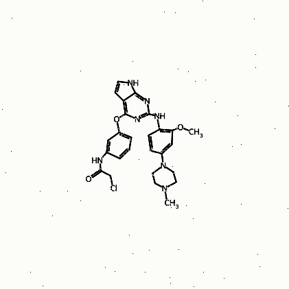 COc1cc(N2CCN(C)CC2)ccc1Nc1nc(Oc2cccc(NC(=O)CCl)c2)c2cc[nH]c2n1